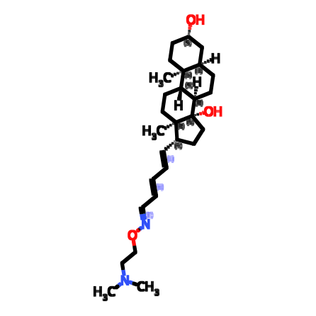 CN(C)CCO/N=C/C=C/C=C/[C@H]1CC[C@]2(O)[C@@H]3CC[C@@H]4C[C@@H](O)CC[C@]4(C)[C@H]3CC[C@]12C